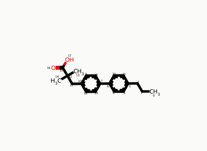 CCCc1ccc(-c2ccc(CC(C)(C)C(=O)O)cc2)cc1